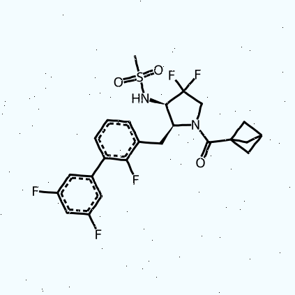 CS(=O)(=O)N[C@@H]1[C@H](Cc2cccc(-c3cc(F)cc(F)c3)c2F)N(C(=O)C23CC(C2)C3)CC1(F)F